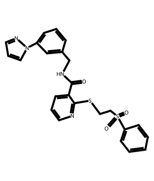 O=C(NCc1cccc(-n2cccn2)c1)c1cccnc1SCCS(=O)(=O)c1ccccc1